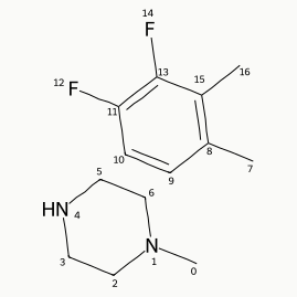 CN1CCNCC1.Cc1ccc(F)c(F)c1C